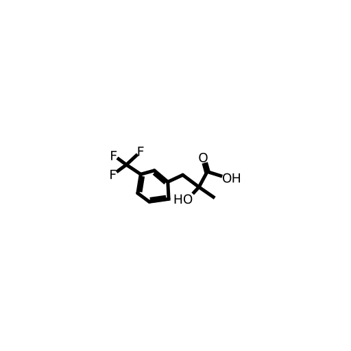 CC(O)(Cc1cccc(C(F)(F)F)c1)C(=O)O